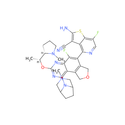 C[C@@H](Oc1nc(N2C3CCC2CN(C)C3)c2c3c(c(-c4ncc(F)c5sc(N)c(C#N)c45)c(F)c2n1)COC3)[C@@H]1CCCN1C